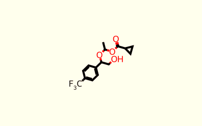 CC(OC(=O)C1CC1)OC(CO)c1ccc(C(F)(F)F)cc1